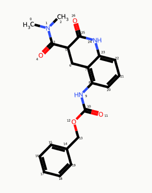 CN(C)C(=O)C1Cc2c(NC(=O)OCc3ccccc3)cccc2NC1=O